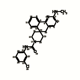 CNc1ncc2c(n1)-c1ccccc1C1(CCN(C(=O)Nc3cccc(Cl)c3)CC1)C2